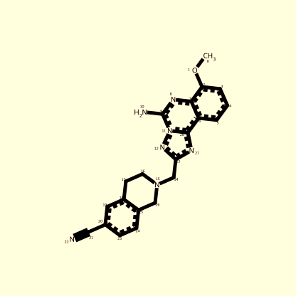 COc1cccc2c1nc(N)n1nc(CN3CCc4cc(C#N)ccc4C3)nc21